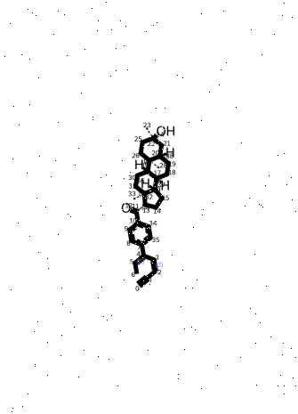 C#C/C=C\C(=C/C)c1ccc(C(=O)[C@H]2CC[C@H]3[C@@H]4CC[C@H]5C[C@](C)(O)CC[C@]5(C)[C@H]4CC[C@]23C)cc1